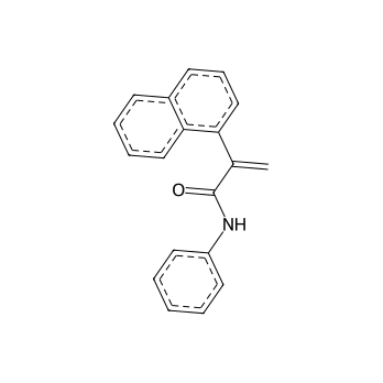 C=C(C(=O)Nc1ccccc1)c1cccc2ccccc12